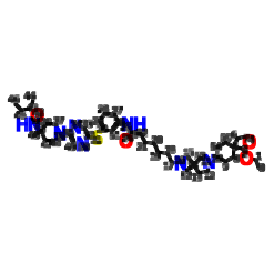 CCOC(=O)C1(CC)CCC(N2CCC3(CN(CCCCCCC(=O)Nc4cccc(Sc5cnc(N6CCC(C)(NOC(C)CC)CC6)cn5)c4)C3)C2)CC1